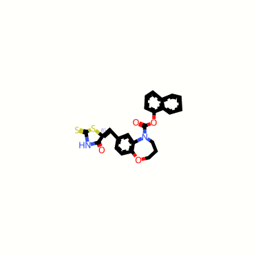 O=C1NC(=S)S/C1=C/c1ccc2c(c1)N(C(=O)Oc1cccc3ccccc13)CCCO2